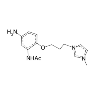 CC(=O)Nc1cc(N)ccc1OCCC[n+]1ccn(C)c1